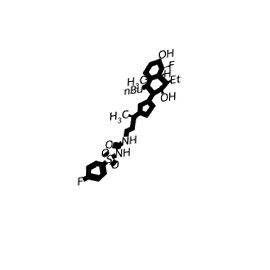 CCCCC1C(C2CCC([C@H](C)CCNC(=O)NS(=O)(=O)c3ccc(F)cc3)C2)[C@H](O)[C@H](CC)[C@@H]2[C@@H](F)[C@H](O)CC[C@]12C